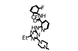 CCc1nc(Nc2ncccc2C(=O)Nc2c(F)cccc2C(F)(F)F)nc(N2CCN(C)CC2)n1